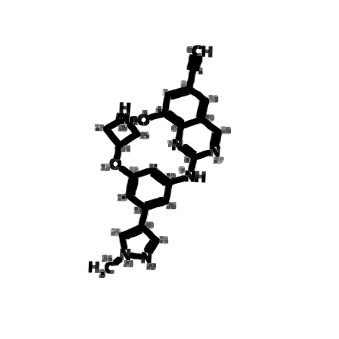 C#Cc1cc(OC)c2nc(Nc3cc(OC4CNC4)cc(-c4cnn(C)c4)c3)ncc2c1